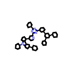 c1ccc(-c2cc(-c3ccccc3)cc(-c3cccc(-c4nc(-c5ccccc5)nc(-c5cc(-c6cccc7c6c6cc(-c8ccccc8)ccc6n7-c6ccccc6)ccn5)n4)c3)c2)cc1